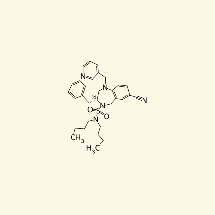 CCCCN(CCCC)S(=O)(=O)N1Cc2cc(C#N)ccc2N(Cc2cccnc2)C[C@H]1Cc1ccccc1